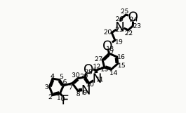 Fc1ccccc1-c1cnc2nc(-c3cccc(OCCN4CCOCC4)c3)oc2c1